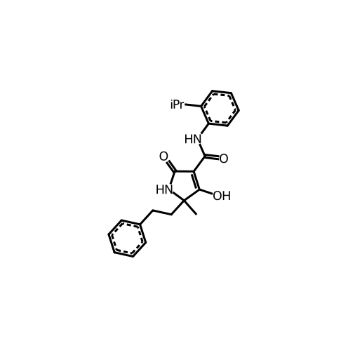 CC(C)c1ccccc1NC(=O)C1=C(O)C(C)(CCc2ccccc2)NC1=O